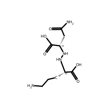 NCCC[C@H](NN[C@@H](CC(N)=O)C(=O)O)C(=O)O